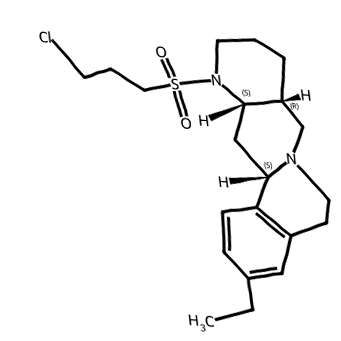 CCc1ccc2c(c1)CCN1C[C@H]3CCCN(S(=O)(=O)CCCCl)[C@H]3C[C@@H]21